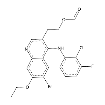 CCOc1cc2ncc(CCOC=O)c(Nc3cccc(F)c3Cl)c2cc1Br